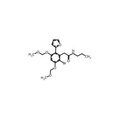 CCCNC(=O)Cc1c(Br)c(OCOC)cc(OCOC)c1-c1ccco1